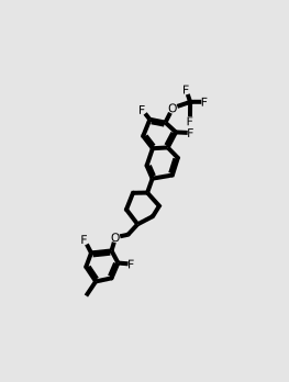 Cc1cc(F)c(OCC2CCC(c3ccc4c(F)c(OC(F)(F)F)c(F)cc4c3)CC2)c(F)c1